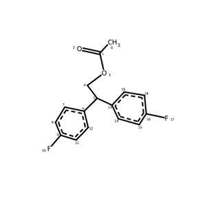 CC(=O)OCC(c1ccc(F)cc1)c1ccc(F)cc1